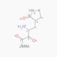 CNC(=O)C(=O)C(N)CC1CCNC1=O